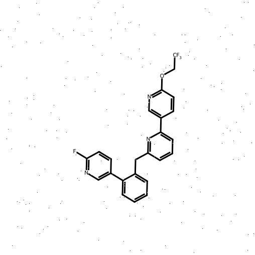 Fc1ccc(-c2ccccc2Cc2cccc(-c3ccc(OCC(F)(F)F)nc3)n2)cn1